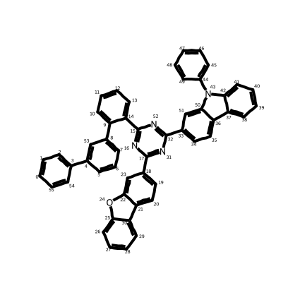 c1ccc(-c2cccc(-c3ccccc3-c3nc(-c4ccc5c(c4)oc4ccccc45)nc(-c4ccc5c6ccccc6n(-c6ccccc6)c5c4)n3)c2)cc1